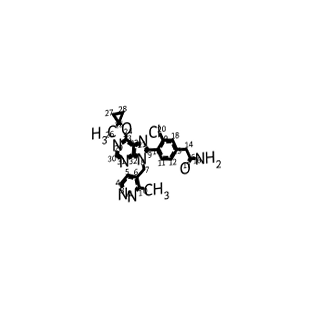 Cc1nnccc1Cn1c(-c2ccc(CC(N)=O)cc2Cl)nc2c(OC3(C)CC3)ncnc21